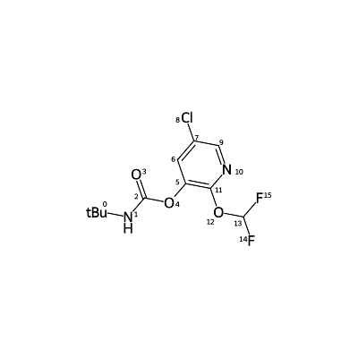 CC(C)(C)NC(=O)Oc1cc(Cl)cnc1OC(F)F